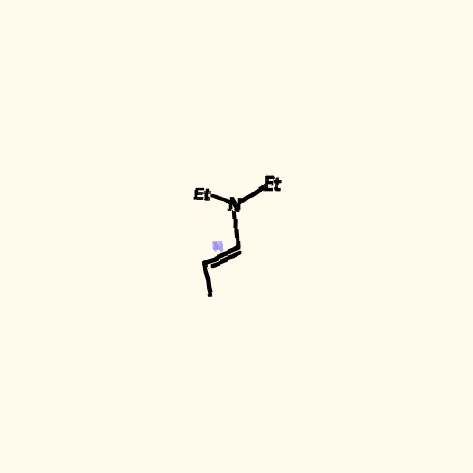 C/C=C/N(CC)CC